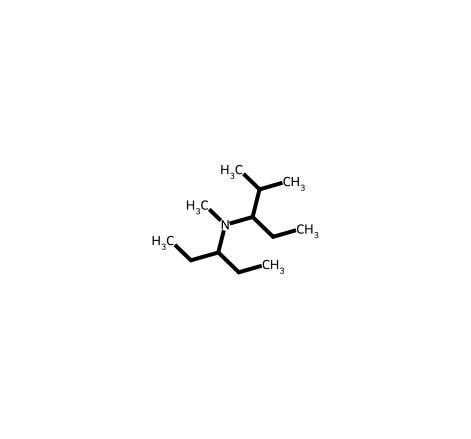 CCC(CC)N(C)C(CC)C(C)C